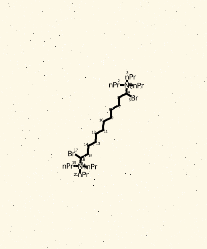 CCC[N+](CCC)(CCC)C(Br)CCCCCCCCCCC(Br)[N+](CCC)(CCC)CCC